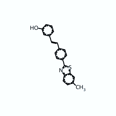 Cc1ccc2nc(-c3ccc(/C=C/c4cccc(O)c4)cc3)sc2c1